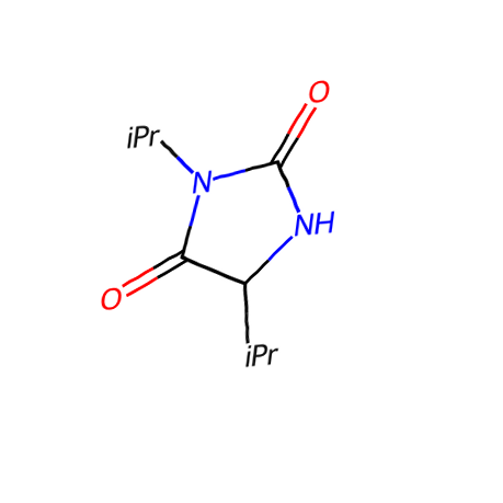 CC(C)C1NC(=O)N(C(C)C)C1=O